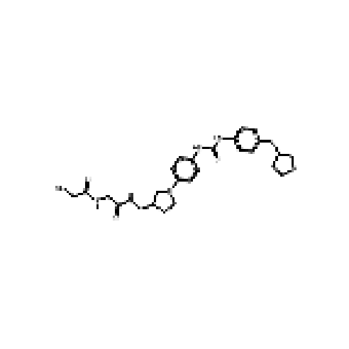 CC(C)(C)CC(=O)NCC(=O)NCC1CCN(c2ccc(NC(=O)Nc3ccc(OC4CCCC4)cc3)cc2)C1